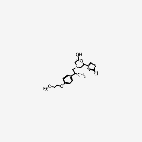 CCOCCOc1ccc(C(C)CN(CCO)CC(O)c2csc(Cl)n2)cc1